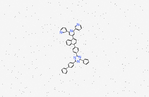 c1ccc(-c2ccc(-c3nc(-c4ccccc4)nc(-c4ccc(-c5ccc(-c6cc(-c7cccnc7)nc(-c7cccnc7)c6)c6ccccc56)cc4)n3)cc2)cc1